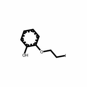 Oc1ccccc1OCCI